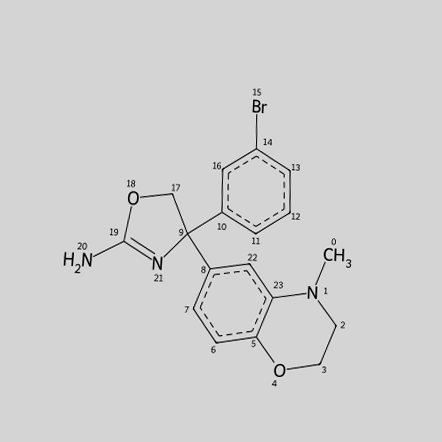 CN1CCOc2ccc(C3(c4cccc(Br)c4)COC(N)=N3)cc21